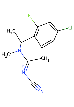 C/C(=N\C#N)N(C)C(C)c1ccc(Cl)cc1F